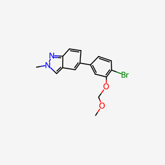 COCOc1cc(-c2ccc3nn(C)cc3c2)ccc1Br